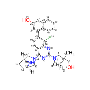 CN(CC(C)(C)CO)c1nc(N2C[C@H]3CC[C@@H](C2)N3)c2ccc(-c3cc(O)cc4ccccc34)c(F)c2n1